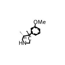 COc1cccc([C@]2(C)CCNC[C@@H]2C)c1